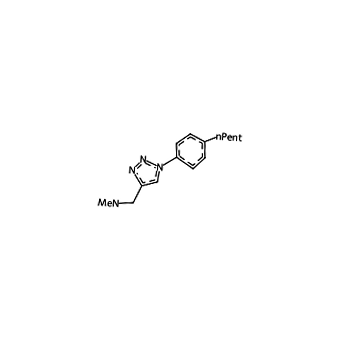 CCCCCc1ccc(-n2cc(CNC)nn2)cc1